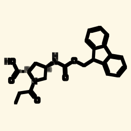 CCC(=O)N1C[C@H](NC(=O)OCC2c3ccccc3-c3ccccc32)C[C@H]1C(=O)O